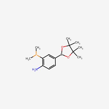 CP(C)c1cc(B2OC(C)(C)C(C)(C)O2)ccc1N